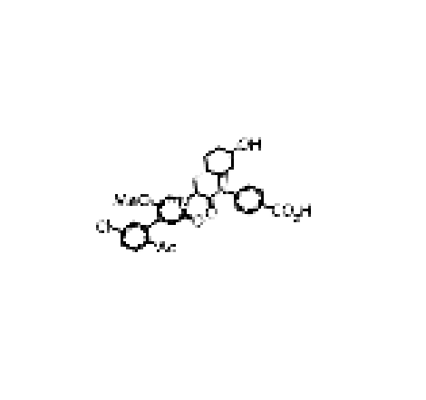 COc1cn(C(C[C@H]2CC[C@H](O)CC2)C(=O)Nc2ccc(C(=O)O)cc2)c(=O)cc1-c1cc(Cl)ccc1C(C)=O